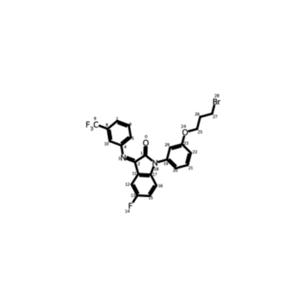 O=C1C(=Nc2cccc(C(F)(F)F)c2)c2cc(F)ccc2N1c1cccc(OCCCBr)c1